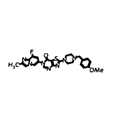 COc1ccc(CN2CCN(c3nc4ncn(-c5cc(F)c6nc(C)cn6c5)c(=O)c4s3)CC2)cc1